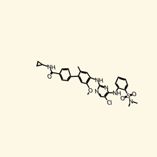 COc1cc(-c2ccc(C(=O)NC3CC3)cc2)c(C)cc1Nc1ncc(Cl)c(Nc2ccccc2S(=O)(=O)N(C)C)n1